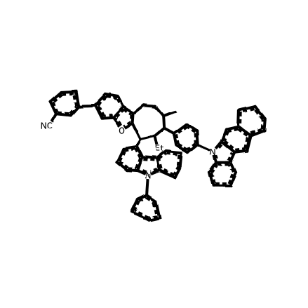 CCC1C(c2cccc3c2c2ccccc2n3-c2ccccc2)c2oc3cc(-c4cccc(C#N)c4)ccc3c2CCC(C)C1c1ccc(-n2c3ccccc3c3cc4ccccc4cc32)cc1